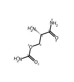 NC(=O)OC[C@H](N)C(N)=O